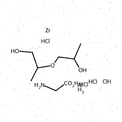 CC(O)COC(C)CO.Cl.Cl.Cl.Cl.NCC(=O)O.[AlH3].[Zr]